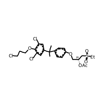 CCS(=O)(=O)C[C@@H](COc1ccc(C(C)(C)c2cc(Cl)c(OCCCCl)c(Cl)c2)cc1)OC(C)=O